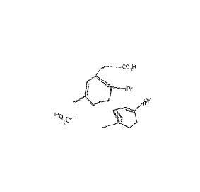 CC(=O)O.CC1=CC(CC(=O)O)=C(C(C)C)CC1.CC1=CC=C(C(C)C)CC1